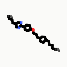 CCCCCC1CCC(CCCOc2ccc(-c3ncc(CCCC)cn3)cc2)CC1